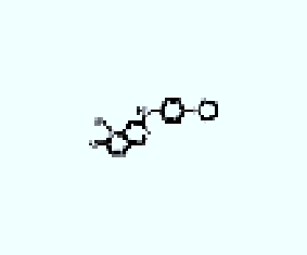 CC(C)n1c(=O)ccc2cnc(Nc3ccc(N4CCCC4)cc3)cc21